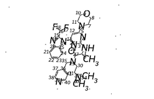 C[C@H](Nc1nc(N2CCOCC2)cc(-n2c(C(F)F)nc3ccccc32)n1)C(=O)N(CCN(C)C)Cc1ccncc1